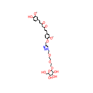 COc1cc(/C=C/C(=O)CC(=O)/C=C/c2ccc(OCc3cn(CCOCCOCCOC4OC(CO)C(O)C(O)C4O)nn3)c(OC)c2)ccc1O